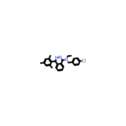 CCN(Cc1ccc(Cl)cc1)c1nnc(-c2c(C)cc(C)cc2C)c2ccccc12